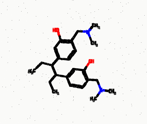 CCC(c1ccc(CN(C)C)c(O)c1)C(CC)c1ccc(CN(C)C)c(O)c1